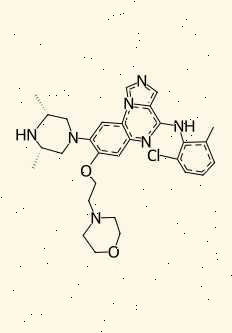 Cc1cccc(Cl)c1Nc1nc2cc(OCCN3CCOCC3)c(N3C[C@@H](C)N[C@@H](C)C3)cc2n2cncc12